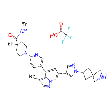 CCC1(C(=O)NC(C)C)CCN(c2ccc(-c3cc(-c4cnn(C5CC6(CNC6)C5)c4)cn4ncc(C#N)c34)cn2)CC1.O=C(O)C(F)(F)F